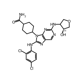 NC(=O)C1CCC(n2c(Nc3ccc(Cl)cc3Cl)nc3cnc(NC4COC[C@H]4O)nc32)CC1